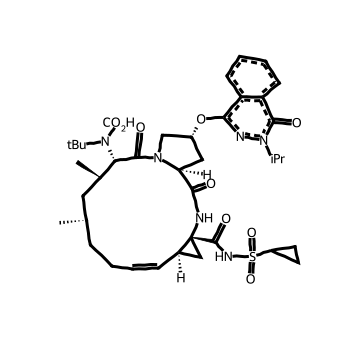 CC(C)n1nc(O[C@@H]2C[C@H]3C(=O)N[C@]4(C(=O)NS(=O)(=O)C5CC5)C[C@H]4/C=C\CC[C@H](C)C[C@@H](C)[C@H](N(C(=O)O)C(C)(C)C)C(=O)N3C2)c2ccccc2c1=O